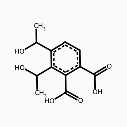 CC(O)c1ccc(C(=O)O)c(C(=O)O)c1C(C)O